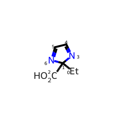 CCC1(C(=O)O)N=CC=N1